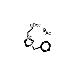 CC(=O)[O-].CCCCCCCCCCCC[n+]1ccn(Cc2ccccc2)c1